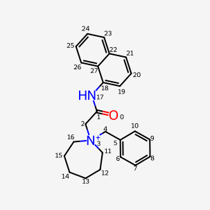 O=C(C[N+]1(Cc2ccccc2)CCCCCC1)Nc1cccc2ccccc12